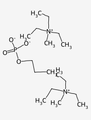 CCCOP(=O)([O-])[O-].CC[N+](C)(CC)CC.CC[N+](C)(CC)CC